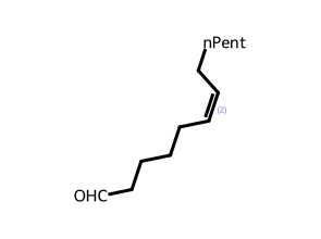 CCCCCC/C=C\CCCCC=O